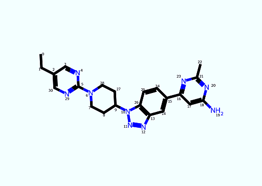 CCc1cnc(N2CCC(n3nnc4cc(-c5cc(N)nc(C)n5)ccc43)CC2)nc1